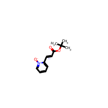 CC(C)(C)OC(=O)/C=C/c1cccc[n+]1[O-]